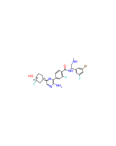 CNCC(NC(=O)c1ccc(-c2nc([C@@H]3CC[C@@H](O)[C@H](F)C3)cnc2N)cc1F)c1cc(F)cc(Br)c1